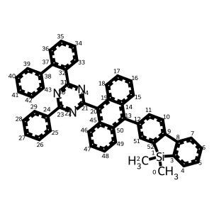 C[Si]1(C)c2ccccc2-c2ccc(-c3c4ccccc4c(-c4nc(-c5ccccc5)nc(-c5ccccc5-c5ccccc5)n4)c4ccccc34)cc21